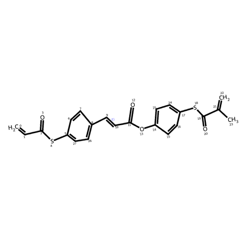 C=CC(=O)Sc1ccc(/C=C/C(=O)Oc2ccc(SC(=O)C(=C)C)cc2)cc1